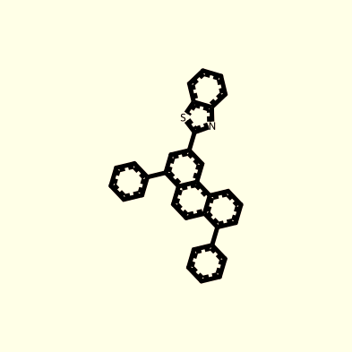 c1ccc(-c2cccc3c2ccc2c(-c4ccccc4)cc(-c4nc5ccccc5s4)cc23)cc1